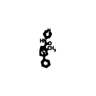 CC12CC3CC(c4ccccc4)(C1)CC2(C(=O)Nc1ccncc1)C3